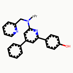 CCCN(Cc1ccccn1)c1cc(-c2ccccc2)cc(-c2ccc(O)cc2)n1